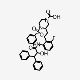 O=C(Nc1cccc(F)c1CCC1CN(C(=O)O)CCN1S(=O)(=O)c1ccccc1)C(O)C(c1ccccc1)c1ccccc1